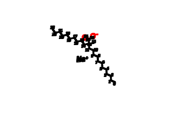 CCCCCCCCCCCCC(C)(CCCCCCCCCC)C(=O)[O-].[Na+]